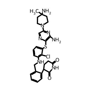 CC1(N)CCN(c2cnc(Sc3cccc(NCc4ccccc4C4CCC(=O)NC4=O)c3Cl)c(N)n2)CC1